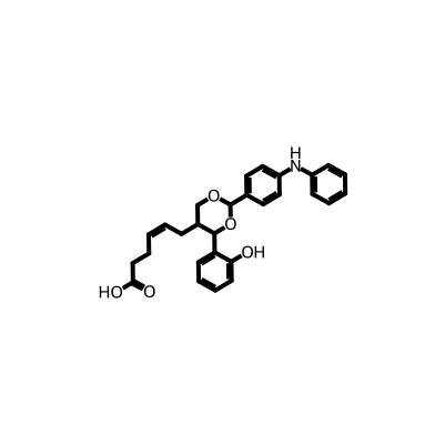 O=C(O)CC/C=C\CC1COC(c2ccc(Nc3ccccc3)cc2)OC1c1ccccc1O